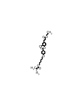 C=CCOC(=O)/C=C/c1ccc(OC(=O)C2C=CC(OCCCCCCOC(=O)C(=C)C)=CC2)c(Cl)c1